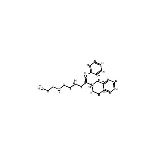 O=C(CNCCOCCO)N1CCc2ccccc2[C@H]1c1ccccc1